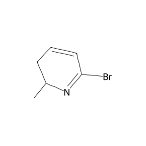 CC1CC=CC(Br)=N1